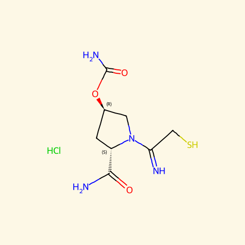 Cl.N=C(CS)N1C[C@H](OC(N)=O)C[C@H]1C(N)=O